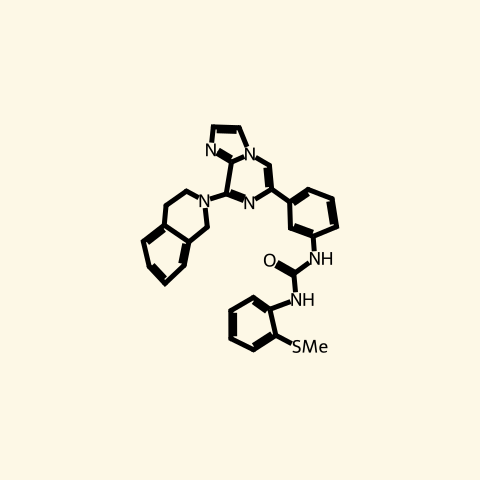 CSc1ccccc1NC(=O)Nc1cccc(-c2cn3ccnc3c(N3CCc4ccccc4C3)n2)c1